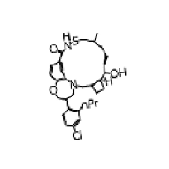 CCCc1cc(Cl)ccc1C1COc2ccc3cc2N(C1)CC1CC[C@H]1C(O)/C=C/CC(C)CSNC3=O